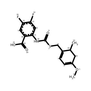 COC1=CC=C(CSC(=O)Nc2cc(F)c(F)cc2C(=O)O)C(C)C1